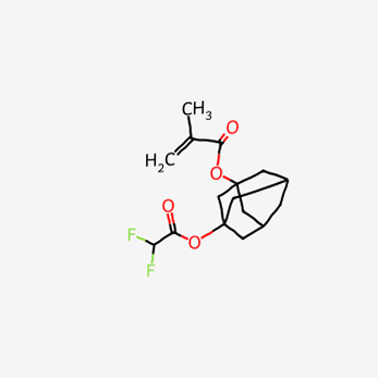 C=C(C)C(=O)OC12CC3CC(C1)CC(OC(=O)C(F)F)(C3)C2